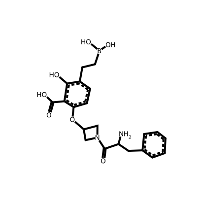 NC(Cc1ccccc1)C(=O)N1CC(Oc2ccc(CCB(O)O)c(O)c2C(=O)O)C1